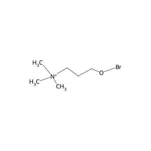 C[N+](C)(C)CCCOBr